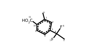 Cc1cc(C(C)(F)F)ccc1C(=O)O